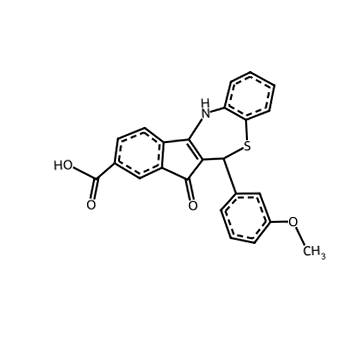 COc1cccc(C2Sc3ccccc3NC3=C2C(=O)c2cc(C(=O)O)ccc23)c1